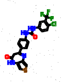 O=C1CC(c2ccc(NC(=O)Nc3ccc(Cl)c(C(F)(F)F)c3)cc2)=Nc2cscc2N1